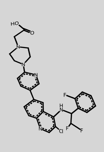 O=C(O)CN1CCN(c2ccc(-c3ccc4ncc(Cl)c(NC(c5ccccc5F)C(F)F)c4c3)cn2)CC1